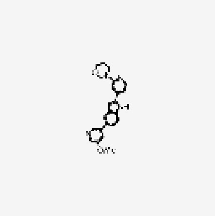 COc1cncc(-c2ccc3[nH]c(-c4ccnc(N5CCCOC5)c4)cc3c2)c1